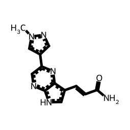 Cn1cc(-c2cnc3[nH]cc(/C=C/C(N)=O)c3n2)cn1